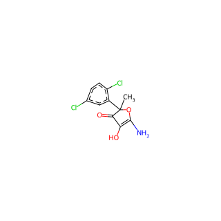 CC1(c2cc(Cl)ccc2Cl)OC(N)=C(O)C1=O